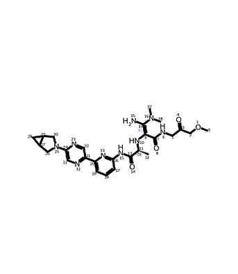 COCC(=O)CNC(=O)/C(N[C@@H](C)C(=O)Nc1cccc(-c2cnc(N3CC4CC4C3)cn2)n1)=C(/N)N(C)C